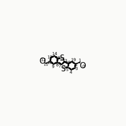 O=Cc1ccc2sc3c4cc(C=O)ccc4sc3c2c1